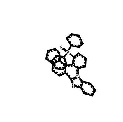 S=P(c1ccccc1)(c1ccccc1)c1cccc2c1c1c3ccccc3ccc1c1nc3ccccc3n21